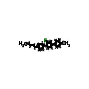 CCC=CCc1ccc(-c2ccc(-c3ccc(C)cc3)cc2F)cc1